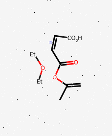 C=C(C)OC(=O)/C=C\C(=O)O.CCOCC